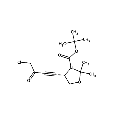 CC(C)(C)OC(=O)N1[C@@H](C#CC(=O)CCl)COC1(C)C